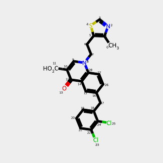 Cc1ncsc1CCn1cc(C(=O)O)c(=O)c2cc(Cc3cccc(Cl)c3Cl)ccc21